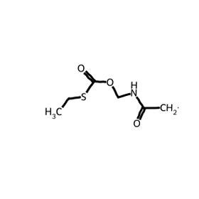 [CH2]C(=O)NCOC(=O)SCC